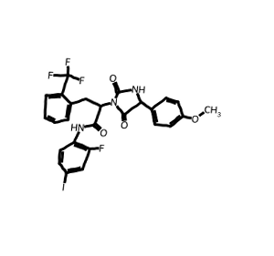 COc1ccc(C2NC(=O)N(C(Cc3ccccc3C(F)(F)F)C(=O)Nc3ccc(I)cc3F)C2=O)cc1